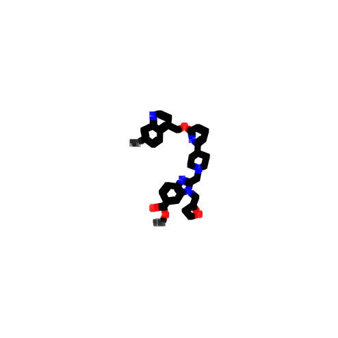 CC(C)(C)OC(=O)c1ccc2nc(CN3CCC(c4cccc(OCc5ccnc6cc(C#N)ccc56)n4)CC3)n(CC3CCO3)c2c1